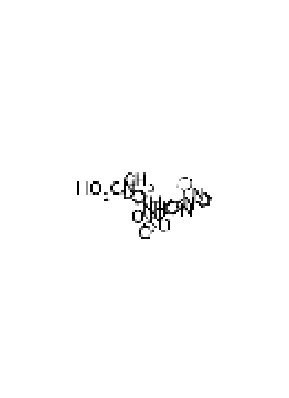 Cn1c(C(=O)O)cc2cc(NC(=O)[C@@]3(NC(=O)c4ccc5c(C6CCCCC6)n(-c6ccccn6)nc5c4)CCOC3)ccc21